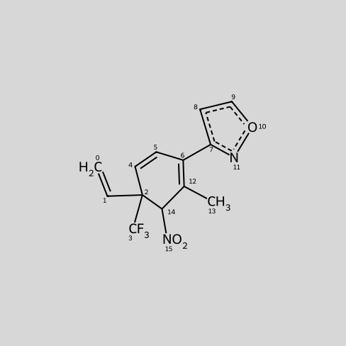 C=CC1(C(F)(F)F)C=CC(c2ccon2)=C(C)C1[N+](=O)[O-]